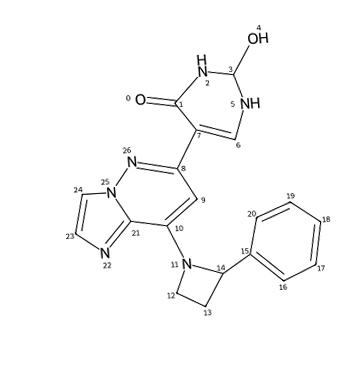 O=C1NC(O)NC=C1c1cc(N2CCC2c2ccccc2)c2nccn2n1